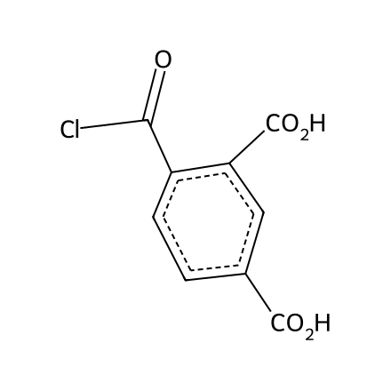 O=C(O)c1ccc(C(=O)Cl)c(C(=O)O)c1